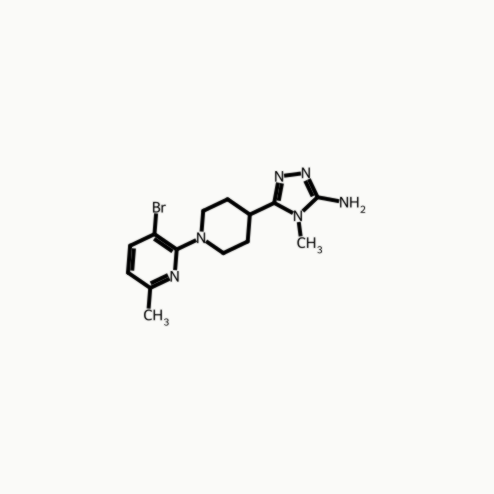 Cc1ccc(Br)c(N2CCC(c3nnc(N)n3C)CC2)n1